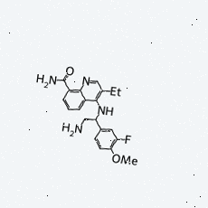 CCc1cnc2c(C(N)=O)cccc2c1N[C@H](CN)c1ccc(OC)c(F)c1